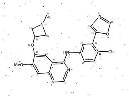 COc1cc2ncnc(Nc3ccc(Cl)c(-c4cnco4)c3)c2cc1OC1CN(C(C)=O)C1